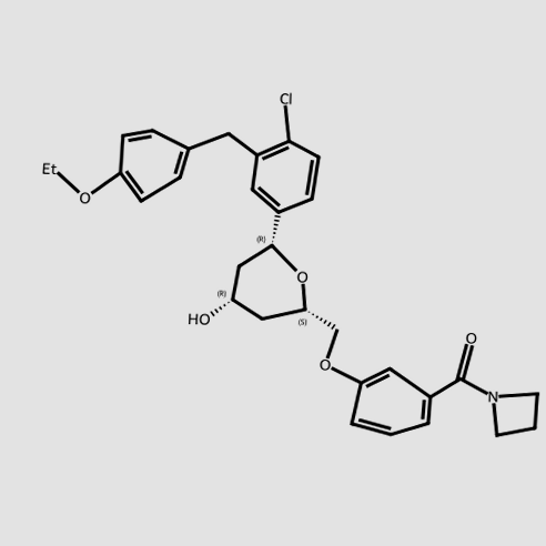 CCOc1ccc(Cc2cc([C@H]3C[C@@H](O)C[C@@H](COc4cccc(C(=O)N5CCC5)c4)O3)ccc2Cl)cc1